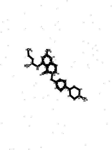 CCC[C@@H](C)Nc1nc(N)nc2cnn(Cc3ccc(C4CCN(C)CC4)cc3)c(=O)c12